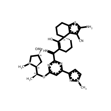 CO[C@@H]1C[C@@H]([C@H](C)Oc2cc(-c3ccn(C)n3)nc(C(=N)C3=C(O)[C@@]4(CCC3)CCCc3sc(N)c(C#N)c34)n2)N(C)C1